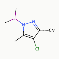 Cc1c(Cl)c(C#N)nn1I(C)C